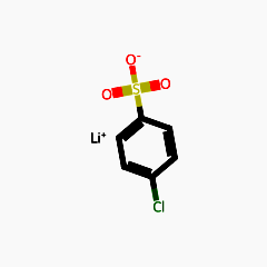 O=S(=O)([O-])c1ccc(Cl)cc1.[Li+]